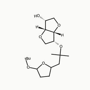 CC(C)(C)OC1CCC(CC(C)(C)O[C@@H]2CO[C@H]3[C@@H]2OC[C@H]3O)O1